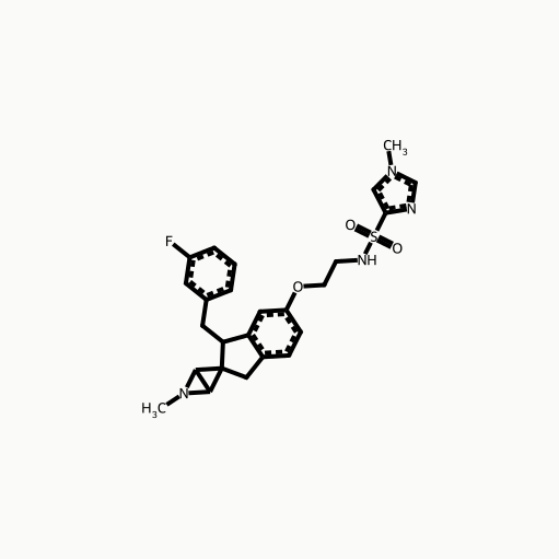 CN1C2C1C21Cc2ccc(OCCNS(=O)(=O)c3cn(C)cn3)cc2C1Cc1cccc(F)c1